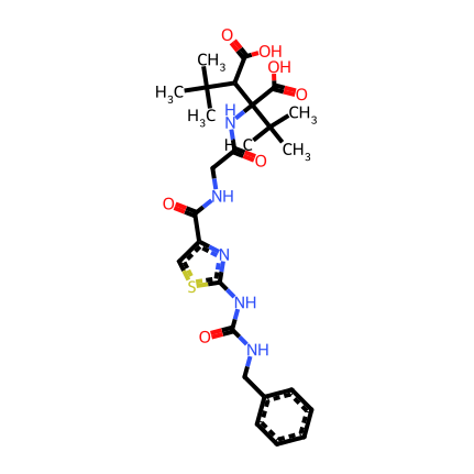 CC(C)(C)C(C(=O)O)C(NC(=O)CNC(=O)c1csc(NC(=O)NCc2ccccc2)n1)(C(=O)O)C(C)(C)C